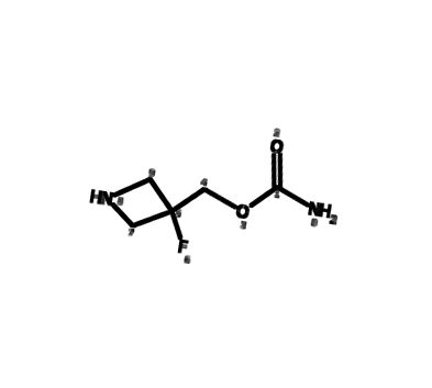 NC(=O)OCC1(F)CNC1